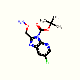 CC(C)(C)OC(=O)n1c(CON)nc2cc(Cl)cnc21